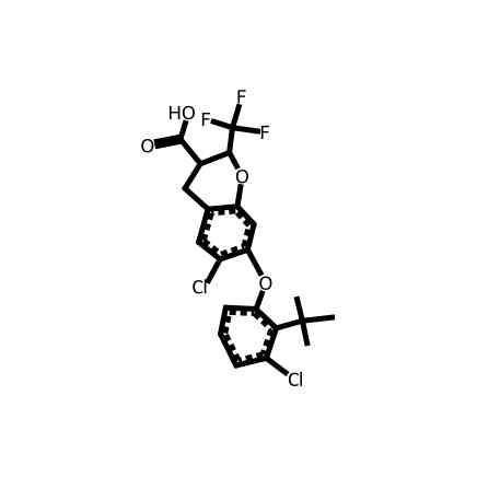 CC(C)(C)c1c(Cl)cccc1Oc1cc2c(cc1Cl)CC(C(=O)O)C(C(F)(F)F)O2